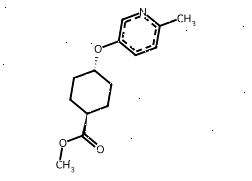 COC(=O)[C@H]1CC[C@H](Oc2ccc(C)nc2)CC1